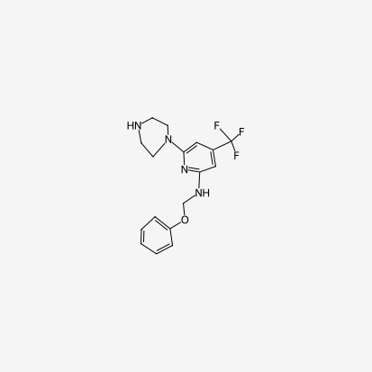 FC(F)(F)c1cc(NCOc2ccccc2)nc(N2CCNCC2)c1